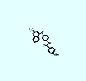 CN(c1cc(C(F)(F)F)nc2ccccc12)[C@H]1CC[C@@H](NC(=O)c2ccc(C(C)(C)C)cc2)CC1